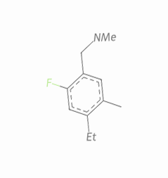 CCc1cc(F)c(CNC)cc1C